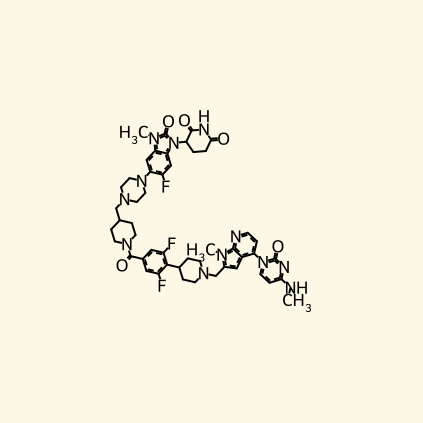 CNc1ccn(-c2ccnc3c2cc(CN2CCC(c4c(F)cc(C(=O)N5CCC(CN6CCN(c7cc8c(cc7F)n(C7CCC(=O)NC7=O)c(=O)n8C)CC6)CC5)cc4F)CC2)n3C)c(=O)n1